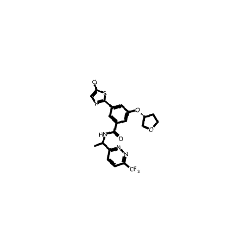 CC(NC(=O)c1cc(O[C@@H]2CCOC2)cc(-c2ncc(Cl)s2)c1)c1ccc(C(F)(F)F)nn1